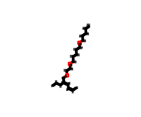 C/C=C\C=C(/CCC)COCCOCCCCCOCCCCC